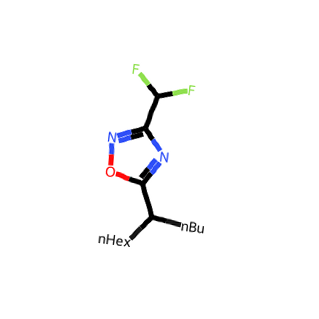 CCCCCCC(CCCC)c1nc(C(F)F)no1